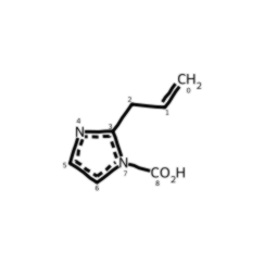 C=CCc1nccn1C(=O)O